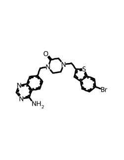 Nc1ncnc2cc(CN3CCN(Cc4cc5ccc(Br)cc5s4)CC3=O)ccc12